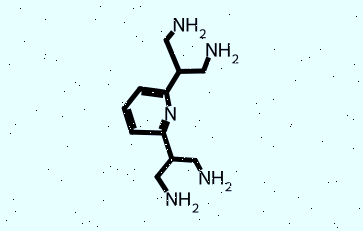 NCC(CN)c1cccc(C(CN)CN)n1